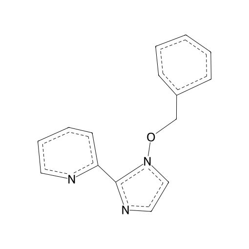 c1ccc(COn2ccnc2-c2ccccn2)cc1